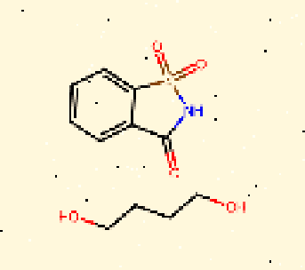 O=C1NS(=O)(=O)c2ccccc21.OCCCCO